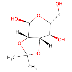 CC1(C)O[C@H]2[C@H](O)[C@@H](CO)O[C@H](O)[C@H]2O1